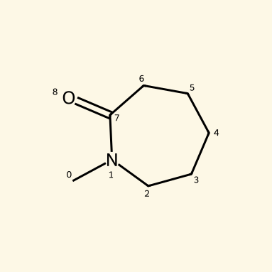 CN1CCCCCC1=O